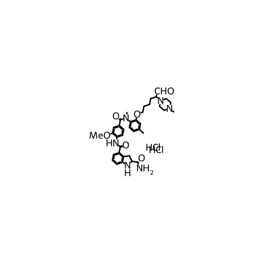 COc1cc(C(=O)N(C)c2ccc(C)cc2OCCCCC(C=O)N2CCN(C)CC2)ccc1NC(=O)c1cccc2c1CC(C(N)=O)N2.Cl.Cl